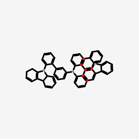 C1=CC2C3=C(CCC=C3)N(c3ccccc3-c3cccc(N(c4ccccc4-c4ccc5ccccc5c4)c4ccccc4-c4cccc5c4oc4ccccc45)c3)C2C=C1